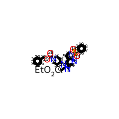 CCOC(=O)Cc1nc2cnc3c(ccn3S(=O)(=O)c3ccccc3)c2n1C1CCN(C(=O)OCc2ccccc2)CC1